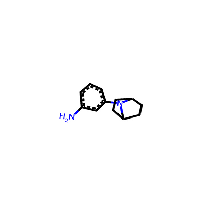 Nc1cccc(N2C3CCC2CC3)c1